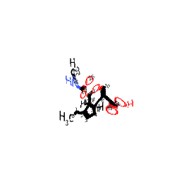 CCC1=CC[C@@H]2C(C(=O)O)=CO[C@H](OC(=O)NC)[C@@H]12